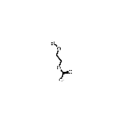 CCOCCOC([O])=O